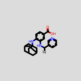 [2H]C(Nc1cc(C(=O)O)ccc1NC12CC3CC(CC(C3)C1)C2)c1cccnc1